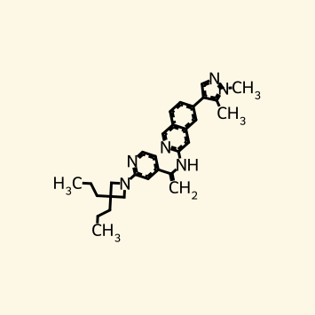 C=C(Nc1cc2cc(-c3cnn(C)c3C)ccc2cn1)c1ccnc(N2CC(CCC)(CCC)C2)c1